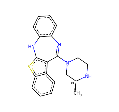 C[C@H]1CN(C2=Nc3ccccc3Nc3sc4ccccc4c32)CCN1